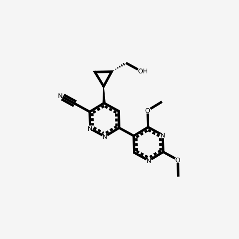 COc1ncc(-c2cc([C@H]3C[C@@H]3CO)c(C#N)nn2)c(OC)n1